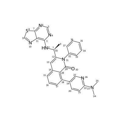 C[C@H](Nc1ncnc2scnc12)c1cc2cccc(-c3ccc(N(C)C)nc3)c2c(=O)n1-c1ccccc1